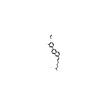 C=CCOc1ccc(-c2ccc3cc(C=CCCCC(C)O)ccc3c2)c(F)c1F